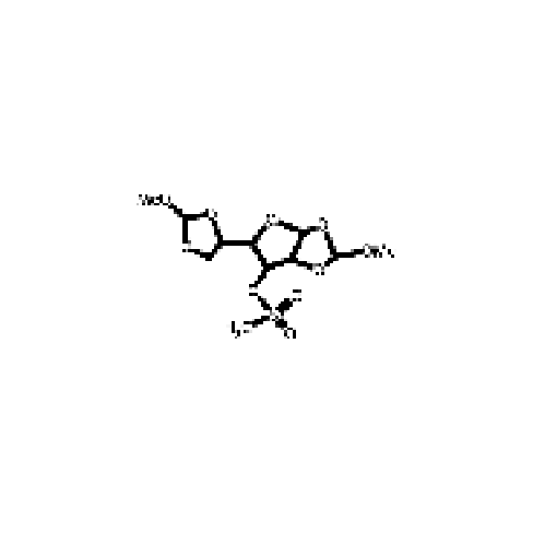 COC1OCC(C2OC3OC(OC)OC3C2OS(C)(=O)=O)O1